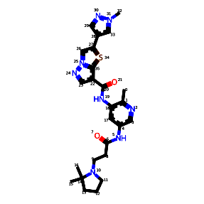 Cc1ncc(NC(=O)CCN2CCCC2(C)C)cc1NC(=O)c1cnn2cc(-c3cnn(C)c3)sc12